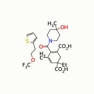 CCC1(C(=O)O)C=C(C)C(C(=O)N2CCC(C)(O)CC2)=C(C(=O)O)C1.FC(F)(F)OCCc1cccs1